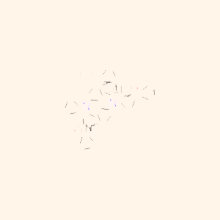 N#Cc1ccc(-n2c3ccccc3c3c4oc5ccccc5c4ccc32)c(-c2cc(-c3c(C(F)(F)F)cccc3C(F)(F)F)ccc2-n2c3ccccc3c3c4oc5ccccc5c4ccc32)c1